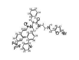 CN(CCN(C)C(=O)C(Cc1ccccc1)N(Cc1ccc(-c2ccccn2)cc1)C(=O)C=Cc1ccc(C(F)(F)F)cc1)Cc1ccc(Br)o1